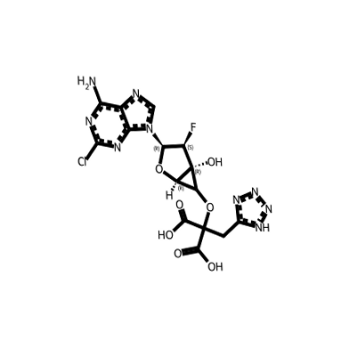 Nc1nc(Cl)nc2c1ncn2[C@@H]1O[C@@H]2C(OC(Cc3nnn[nH]3)(C(=O)O)C(=O)O)[C@]2(O)[C@@H]1F